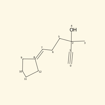 C#CC(C)(O)CCC=C1CCCC1